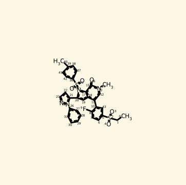 CCS(=O)(=O)c1ccc(F)c(-c2cn(C)c(=O)c3c2cc(-c2ccnn2-c2ccccc2)n3S(=O)(=O)c2ccc(C)cc2)c1